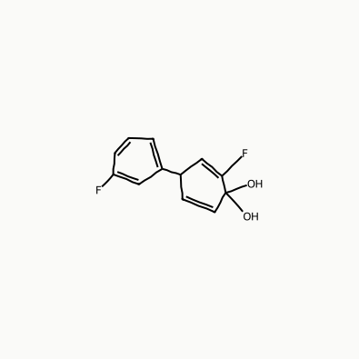 OC1(O)C=CC(c2cccc(F)c2)C=C1F